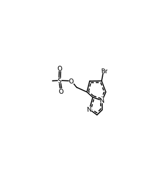 CS(=O)(=O)OCc1cc(Br)cn2ccnc12